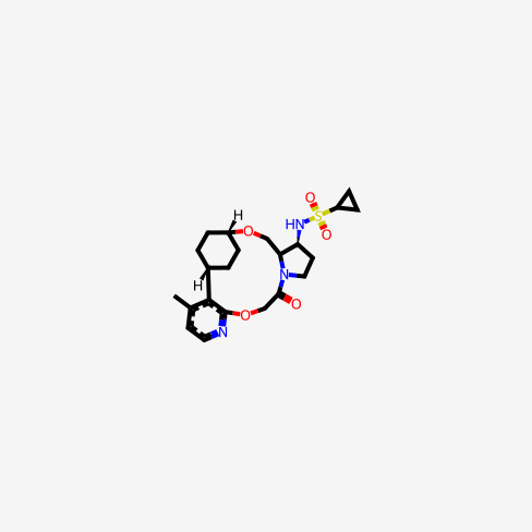 Cc1ccnc2c1[C@H]1CC[C@H](CC1)OCC1[C@@H](NS(=O)(=O)C3CC3)CCN1C(=O)CO2